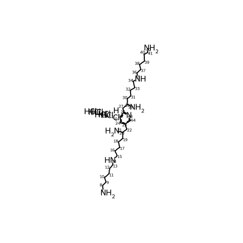 Cl.Cl.Cl.Cl.Cl.Cl.Cl.NCCCCCCNCCCCCC(N)Cc1ccc(CC(N)CCCCCNCCCCCCN)nc1